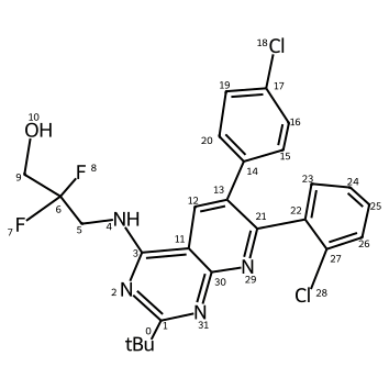 CC(C)(C)c1nc(NCC(F)(F)CO)c2cc(-c3ccc(Cl)cc3)c(-c3ccccc3Cl)nc2n1